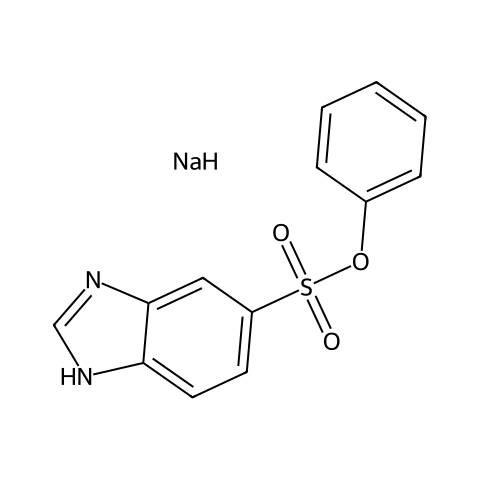 O=S(=O)(Oc1ccccc1)c1ccc2[nH]cnc2c1.[NaH]